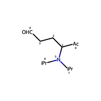 CC(=O)C(CCC=O)N(C(C)C)C(C)C